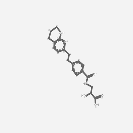 NC(CNC(=O)c1ccc(CCc2ccc3c(n2)NCCC3)cc1)C(=O)O